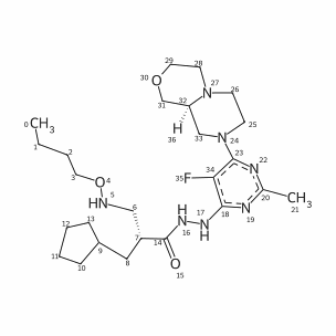 CCCCONC[C@@H](CC1CCCC1)C(=O)NNc1nc(C)nc(N2CCN3CCOC[C@@H]3C2)c1F